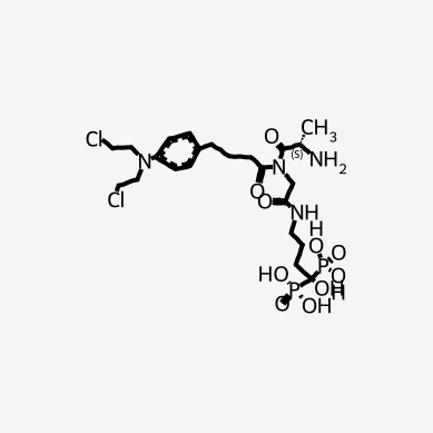 C[C@H](N)C(=O)N(CC(=O)NCCCC(O)(P(=O)(O)O)P(=O)(O)O)C(=O)CCCc1ccc(N(CCCl)CCCl)cc1